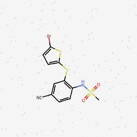 CS(=O)(=O)Nc1ccc(C#N)cc1Sc1ccc(Br)s1